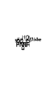 COc1ccc(C2NC(=O)NC3=C2CCc2ccccc23)cc1O